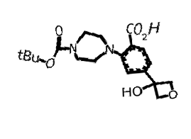 CC(C)(C)OC(=O)N1CCN(c2cc(C3(O)COC3)ccc2C(=O)O)CC1